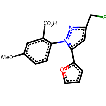 COc1ccc(-n2nc(CF)cc2-c2ccco2)c(C(=O)O)c1